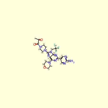 CC(=O)C(=O)N1CCN(c2nc3c(N4CCOCC4)nc(-c4cnc(N)nc4)nc3n2CC(F)(F)F)CC1